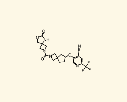 N#Cc1cc(C(F)(F)F)ncc1O[C@H]1CCC2(C1)CN(C(=O)N1CC3(COC(=O)N3)C1)C2